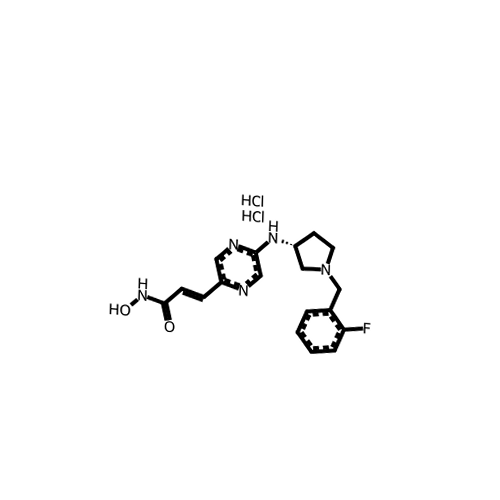 Cl.Cl.O=C(C=Cc1cnc(N[C@@H]2CCN(Cc3ccccc3F)C2)cn1)NO